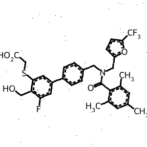 Cc1cc(C)c(C(=O)N(Cc2ccc(-c3cc(F)c(CO)c(SCC(=O)O)c3)cc2)Cc2ccc(C(F)(F)F)o2)c(C)c1